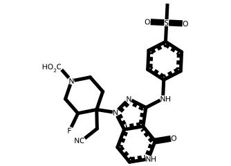 CS(=O)(=O)c1ccc(Nc2nn(C3(CC#N)CCN(C(=O)O)CC3F)c3cc[nH]c(=O)c23)cc1